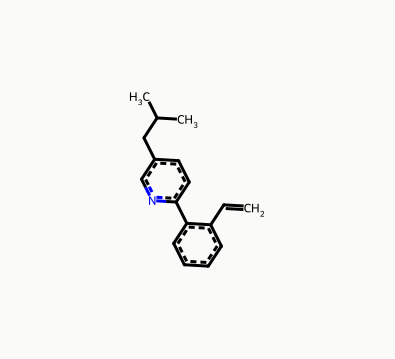 C=Cc1ccccc1-c1ccc(CC(C)C)cn1